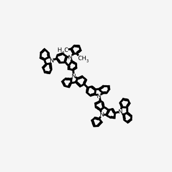 Cc1cccc(C)c1-n1c2ccc(-n3c4ccccc4c4ccccc43)cc2c2cc(-n3c4ccccc4c4cc(-c5ccc6c(c5)c5ccccc5n6-c5ccc6c(c5)c5cc(-n7c8ccccc8c8ccccc87)ccc5n6-c5ccccc5)ccc43)ccc21